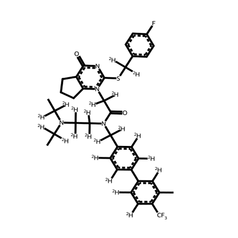 [2H]c1c([2H])c(C([2H])([2H])N(C(=O)C([2H])([2H])n2c(SC([2H])([2H])c3ccc(F)cc3)nc(=O)c3c2CCC3)C([2H])([2H])C([2H])([2H])N(C([2H])([2H])C)C([2H])([2H])C)c([2H])c([2H])c1-c1c([2H])c([2H])c(C(F)(F)F)c(C)c1[2H]